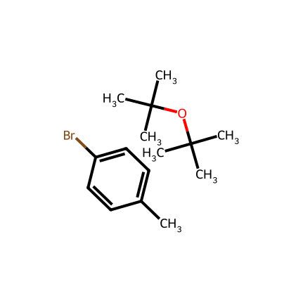 CC(C)(C)OC(C)(C)C.Cc1ccc(Br)cc1